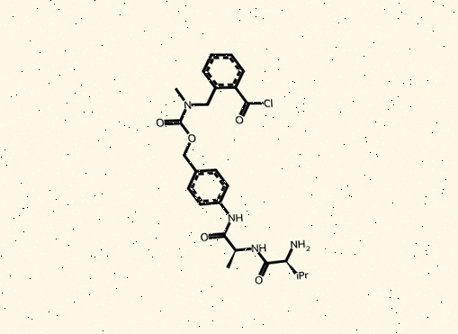 CC(C)[C@H](N)C(=O)N[C@@H](C)C(=O)Nc1ccc(COC(=O)N(C)Cc2ccccc2C(=O)Cl)cc1